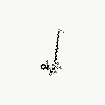 CCCCCCCCCCCCCCCCCC(=O)N[C@@H](C)C(=O)N[C@@H](Cc1c[nH]c2ccccc12)C(=O)O